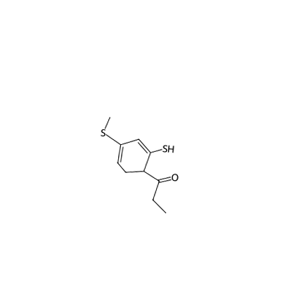 CCC(=O)C1CC=C(SC)C=C1S